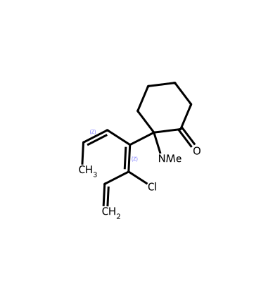 C=C/C(Cl)=C(\C=C/C)C1(NC)CCCCC1=O